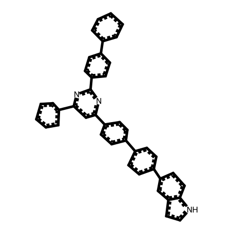 c1ccc(-c2ccc(-c3nc(-c4ccccc4)cc(-c4ccc(-c5ccc(-c6ccc7[nH]ccc7c6)cc5)cc4)n3)cc2)cc1